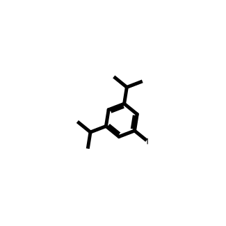 C[C](C)c1cc(I)cc(C(C)C)c1